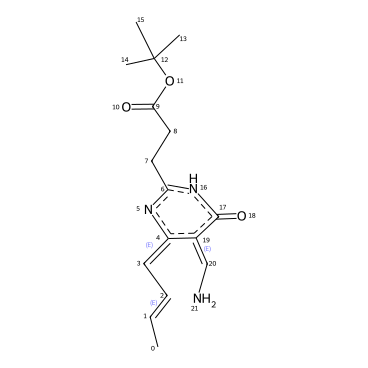 C/C=C/C=c1/nc(CCC(=O)OC(C)(C)C)[nH]c(=O)/c1=C/N